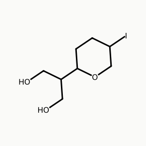 OCC(CO)C1CCC(I)CO1